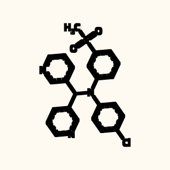 CS(=O)(=O)c1cccc(N(c2ccc(Cl)cc2)C(c2cccnc2)c2cccnc2)c1